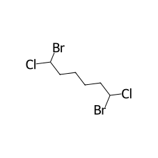 ClC(Br)CCCCC(Cl)Br